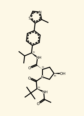 CC(=O)N[C@H](C(=O)N1C[C@H](O)C[C@H]1C(=O)N[C@H](c1ccc(-c2scnc2C)cc1)C(C)C)C(C)(C)C